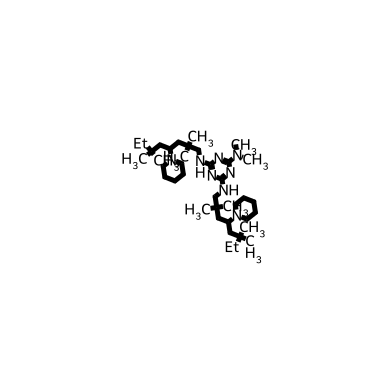 CCC(C)(C)CC(CC(C)(C)CNc1nc(NCC(C)(C)CC(CC(C)(C)CC)N2CCCCC2)nc(N(C)C)n1)N1CCCCC1